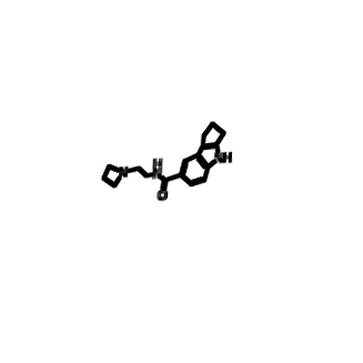 O=C(NCCN1CCC1)c1ccc2[nH]c3c(c2c1)CCC3